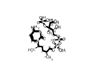 C[C@@H](CC[C@@H](C)n1ccc(N)nc1=O)COP(=O)(O)OP(=O)(O)OC[C@@H](O)[C@](C)(CO)OP(=O)(O)O